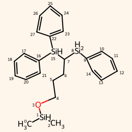 C[SiH](C)OCCCC([SiH2]c1ccccc1)[SiH](c1ccccc1)c1ccccc1